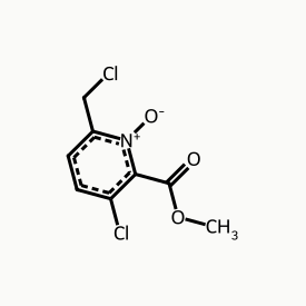 COC(=O)c1c(Cl)ccc(CCl)[n+]1[O-]